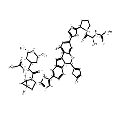 CCc1ccc(C2Oc3cc(-c4cnc(C5CCCN5C(=O)[C@@H](NC(=O)OC)C(C)C)[nH]4)cc(F)c3-c3cc4cc(-c5cnc([C@@H]6C[C@H]7C[C@H]7N6C(=O)[C@H](NC(=O)OC)C6C[C@@H](C)O[C@@H](C)C6)[nH]5)ccc4n32)s1